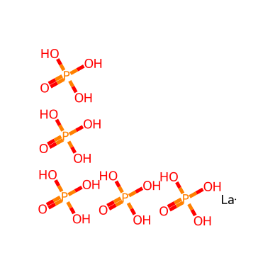 O=P(O)(O)O.O=P(O)(O)O.O=P(O)(O)O.O=P(O)(O)O.O=P(O)(O)O.[La]